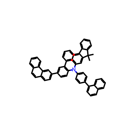 CC1(C)c2ccccc2-c2ccc(N(c3ccc(-c4cccc5ccccc45)cc3)c3ccc(-c4ccc5ccc6ccccc6c5c4)cc3-c3ccccc3)cc21